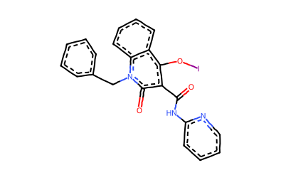 O=C(Nc1ccccn1)c1c(OI)c2ccccc2n(Cc2ccccc2)c1=O